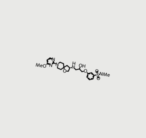 CNS(=O)(=O)c1cccc(OCC(O)CN[C@H]2COC3(CCN(c4nccc(OC)n4)CC3)C2)c1